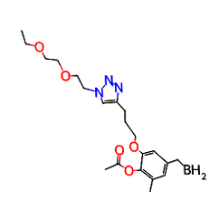 BCc1cc(C)c(OC(C)=O)c(OCCCc2cn(CCOCCOCC)nn2)c1